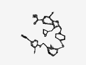 N#Cc1ccc(OCc2cccc(OC3CCN(Cc4nc5c(F)cc(C(=O)O)cc5n4CC4CCO4)CC3)n2)c(F)c1